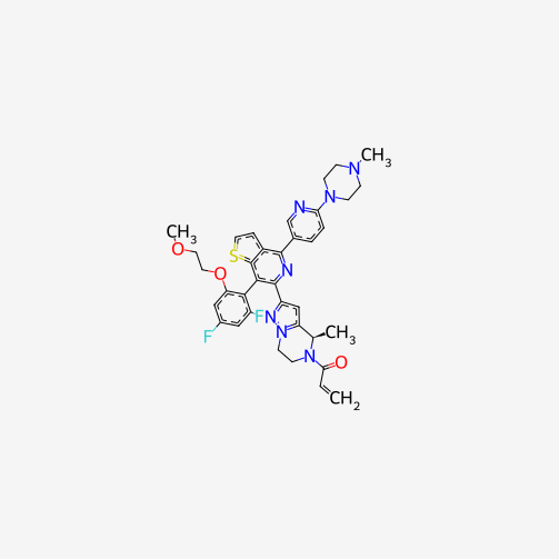 C=CC(=O)N1CCn2nc(-c3nc(-c4ccc(N5CCN(C)CC5)nc4)c4ccsc4c3-c3c(F)cc(F)cc3OCCOC)cc2[C@H]1C